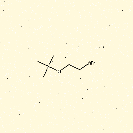 CCCCCOS(C)(C)C